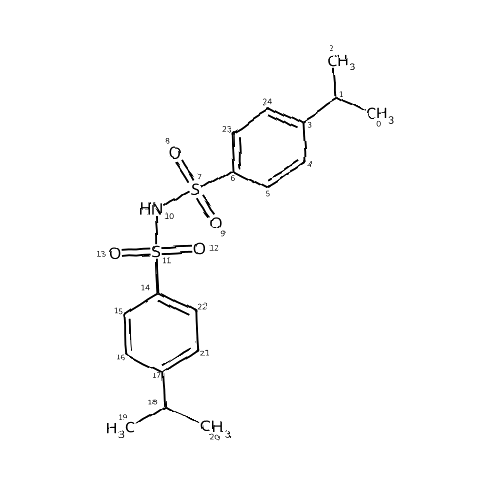 CC(C)c1ccc(S(=O)(=O)NS(=O)(=O)c2ccc(C(C)C)cc2)cc1